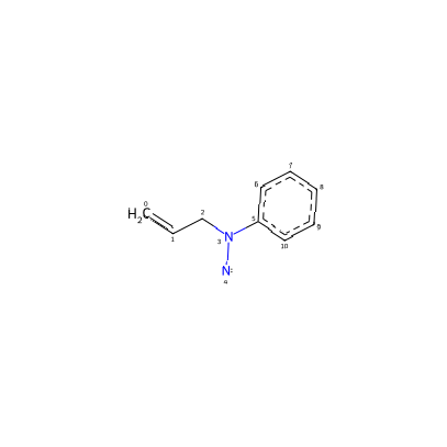 C=CCN([N])c1ccccc1